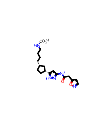 O=C(O)NCCCC[C@H]1CC[C@@H](c2cc(NC(=O)Cc3ccno3)n[nH]2)C1